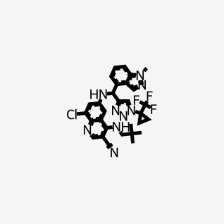 Cn1ncc2c(C(Nc3cc(Cl)c4ncc(C#N)c(NCC(C)(C)C)c4c3)c3cn(C4(C(F)(F)F)CC4)nn3)cccc21